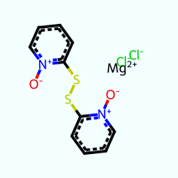 [Cl-].[Cl-].[Mg+2].[O-][n+]1ccccc1SSc1cccc[n+]1[O-]